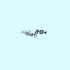 COC(=O)NC1CC(C(=O)N2CC3CC3(c3ccc(C4CC4)cc3)C2)C1